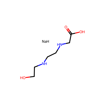 O=C(O)CNCCNCCO.[NaH]